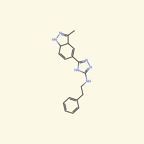 CC1=NNC2C=CC(c3nnc(NCCc4ccccc4)[nH]3)=CC12